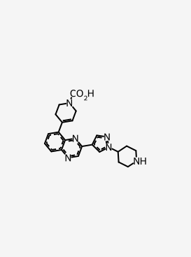 O=C(O)N1CC=C(c2cccc3ncc(-c4cnn(C5CCNCC5)c4)nc23)CC1